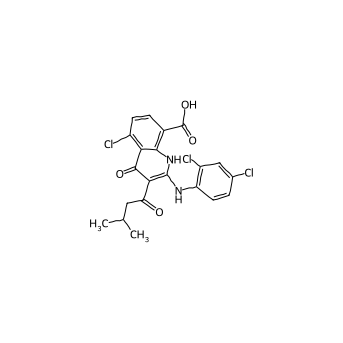 CC(C)CC(=O)c1c(Nc2ccc(Cl)cc2Cl)[nH]c2c(C(=O)O)ccc(Cl)c2c1=O